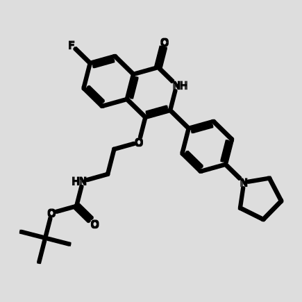 CC(C)(C)OC(=O)NCCOc1c(-c2ccc(N3CCCC3)cc2)[nH]c(=O)c2cc(F)ccc12